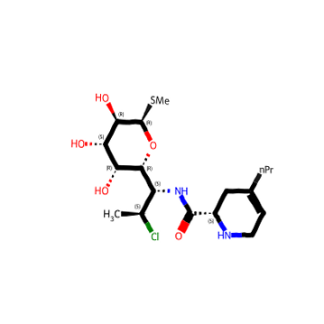 CCCC1=CCN[C@H](C(=O)N[C@@H]([C@H]2O[C@H](SC)[C@H](O)[C@@H](O)[C@H]2O)[C@H](C)Cl)C1